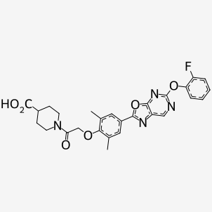 Cc1cc(-c2nc3cnc(Oc4ccccc4F)nc3o2)cc(C)c1OCC(=O)N1CCC(C(=O)O)CC1